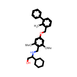 COc1cc(OCc2cccc(-c3ccccc3)c2C)cc(OC)c1CNC(CO)C1CCCCC1